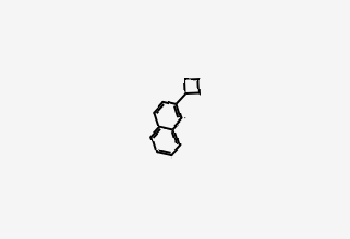 [c]1c(C2CCC2)ccc2ccccc12